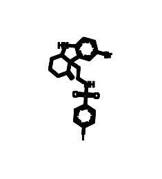 C=C1CCCC2Nc3ccc(Br)cc3C12CCNS(=O)(=O)c1ccc(I)cc1